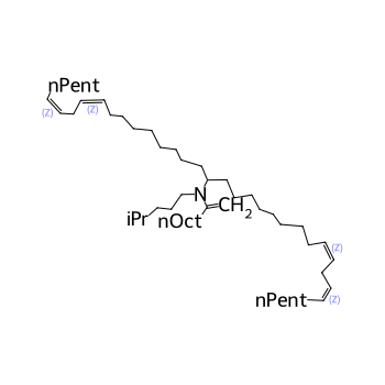 C=C(CCCCCCCC)N(CCCC(C)C)C(CCCCCCCC/C=C\C/C=C\CCCCC)CCCCCCCC/C=C\C/C=C\CCCCC